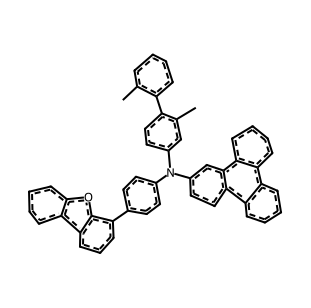 Cc1ccccc1-c1ccc(N(c2ccc(-c3cccc4c3oc3ccccc34)cc2)c2ccc3c4ccccc4c4ccccc4c3c2)cc1C